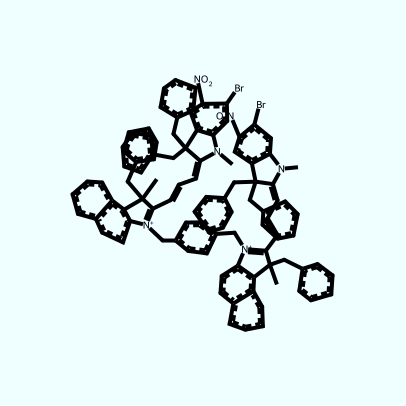 CN1/C(=C/C=C/C2=[N+](Cc3ccc(C[N+]4=C(/C=C/C=C5/N(C)c6cc(Br)c([N+](=O)[O-])cc6C5(Cc5ccccc5)Cc5ccccc5)C(C)(Cc5ccccc5)c5c4ccc4ccccc54)cc3)c3ccc4ccccc4c3C2(C)Cc2ccccc2)C(Cc2ccccc2)(Cc2ccccc2)c2cc([N+](=O)[O-])c(Br)cc21